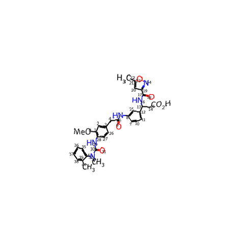 COc1cc(CC(=O)Nc2cccc(C(CC(=O)O)NC(=O)c3cc(C)on3)c2)ccc1NC(=O)N(C)c1ccccc1C